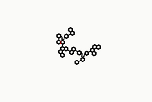 c1ccc(-c2cccc(N(c3ccc(-c4cccc5c(-c6ccc7c(-c8ccc(N(c9ccc(-c%10cccc%11ccccc%10%11)cc9)c9ccccc9-c9ccccc9)cc8)cc8ccc9ccccc9c8c7c6)cccc45)cc3)c3ccc(-c4cc5ccc6ccccc6c5c5ccccc45)cc3)c2)cc1